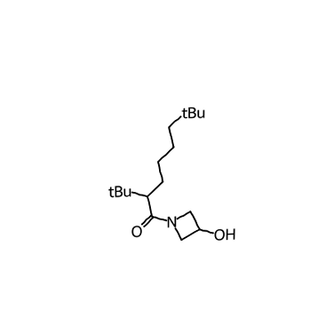 CC(C)(C)CCCCC(C(=O)N1CC(O)C1)C(C)(C)C